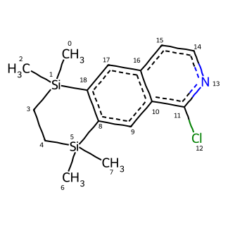 C[Si]1(C)CC[Si](C)(C)c2cc3c(Cl)nccc3cc21